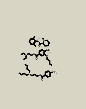 CCCCN(CCCC)CCCOC(=O)c1ccc(N)cc1.CCCCOc1cc(C(=O)OCCN(CC)CC)ccc1N.Cc1cccc(C)c1NC(=O)C1CCCCN1C